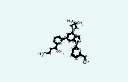 CCCC(N)c1cccc(-c2cc(N3CC(C)(C)C3)c3cnn(-c4cccc(CO)n4)c3c2)n1